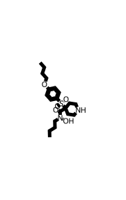 CCCCOc1ccc(S(=O)(=O)C2(C(=O)N(O)CCCC)CCNCC2)cc1